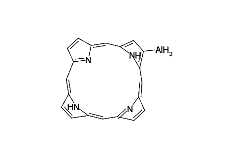 [AlH2][c]1cc2cc3nc(cc4ccc(cc5nc(cc1[nH]2)C=C5)[nH]4)C=C3